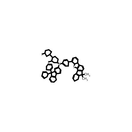 CC1(C)C2=C(C=CCC2)c2c1ccc1c2SC2C(C3C=CC(N(c4ccc5c(c4)C(C4=CC=CCC4)(C4C=CC=CC4)C4=C5CCC=C4)C4CCC(C5CCCC(I)C5)C(I)C4)=CC3)=CC=CC12